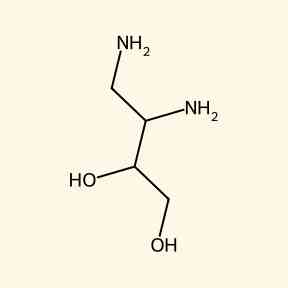 NCC(N)C(O)CO